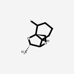 B[C@@H]1O[C@@]23COC1C2(O)CCCC3I